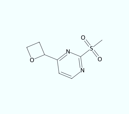 CS(=O)(=O)c1nccc(C2CCO2)n1